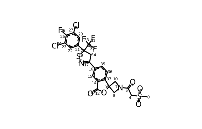 CS(=O)(=O)CC(=O)N1CC2(C1)OC(=O)c1cc(C3=NSC(c4cc(Cl)c(F)c(Cl)c4)(C(F)(F)F)C3)ccc12